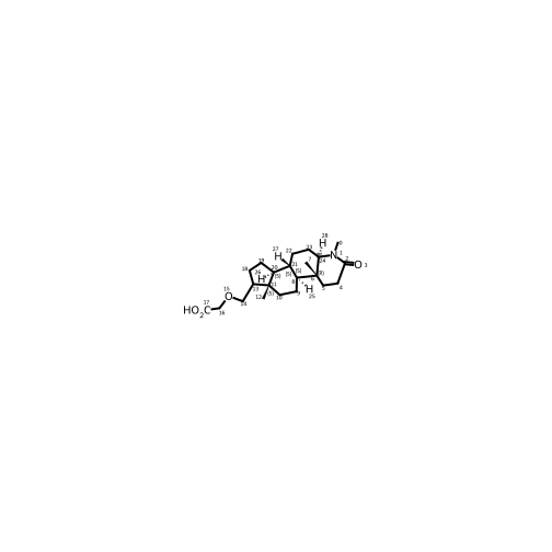 CN1C(=O)CC[C@]2(C)[C@H]3CC[C@]4(C)C(COCC(=O)O)CC[C@H]4[C@@H]3CC[C@@H]12